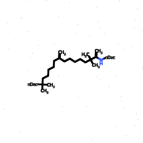 C=C(CCCCCC(C)(C)CCCCCCCCCC)CCCCCC(C)(C)C(=C)NCCCCCCCCCC